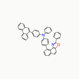 c1ccc(-c2nc3c(ccc4cccc(-c5ccc(N(c6ccccc6)c6ccc(-c7cc8ccccc8c8ccccc78)cc6)cc5)c43)o2)cc1